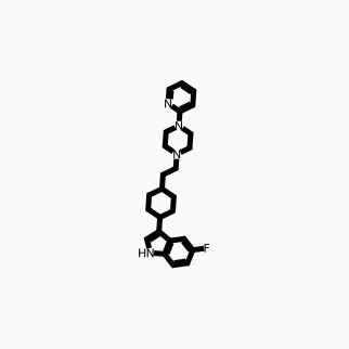 Fc1ccc2[nH]cc(C3CCC(CCN4CCN(c5ccccn5)CC4)CC3)c2c1